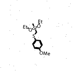 CCO[Si](C)(CSc1ccc(OC)cc1)OCC